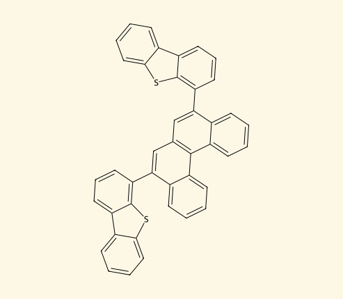 c1ccc2c(c1)sc1c(-c3cc4cc(-c5cccc6c5sc5ccccc56)c5ccccc5c4c4ccccc34)cccc12